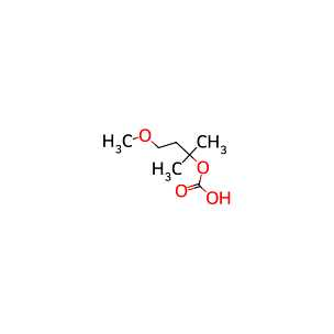 COCCC(C)(C)OC(=O)O